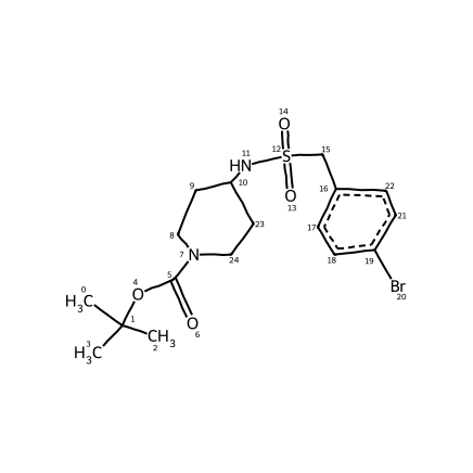 CC(C)(C)OC(=O)N1CCC(NS(=O)(=O)Cc2ccc(Br)cc2)CC1